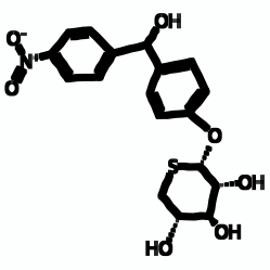 O=[N+]([O-])c1ccc(C(O)c2ccc(O[C@H]3SC[C@@H](O)[C@H](O)[C@H]3O)cc2)cc1